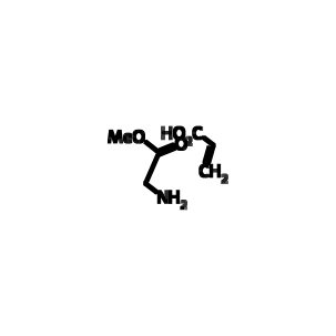 C=CC(=O)O.COC(=O)CN